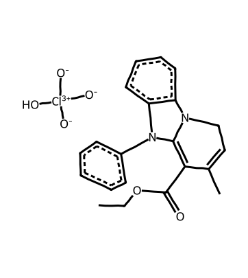 CCOC(=O)C1=C2N(CC=C1C)c1ccccc1N2c1ccccc1.[O-][Cl+3]([O-])([O-])O